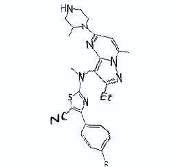 CCc1nn2c(C)cc(N3CCNCC3C)nc2c1N(C)c1nc(-c2ccc(F)cc2)c(C#N)s1